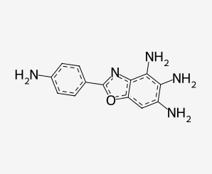 Nc1ccc(-c2nc3c(N)c(N)c(N)cc3o2)cc1